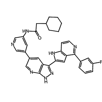 O=C(CC1CCCCC1)Nc1cncc(-c2cnc3[nH]nc(-c4cc5c(-c6cccc(F)c6)nccc5[nH]4)c3c2)c1